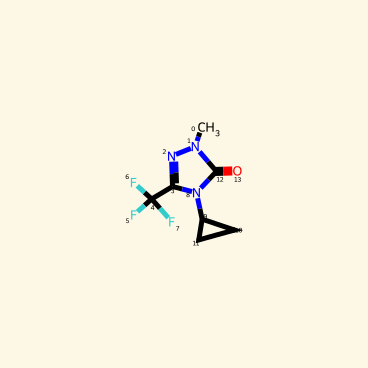 Cn1nc(C(F)(F)F)n(C2CC2)c1=O